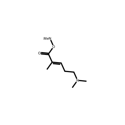 CNOC(=O)C(C)=CCCN(C)C